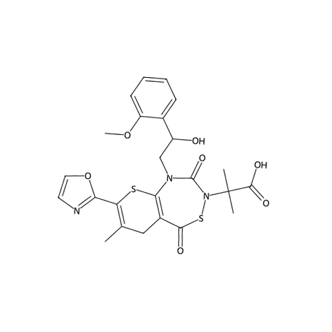 COc1ccccc1C(O)CN1C(=O)N(C(C)(C)C(=O)O)SC(=O)C2=C1SC(c1ncco1)=C(C)C2